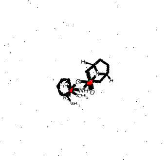 CC(C)(C)OC(=O)N1[C@@H]2CC[C@H]1CC(Nc1ccccc1N)C2